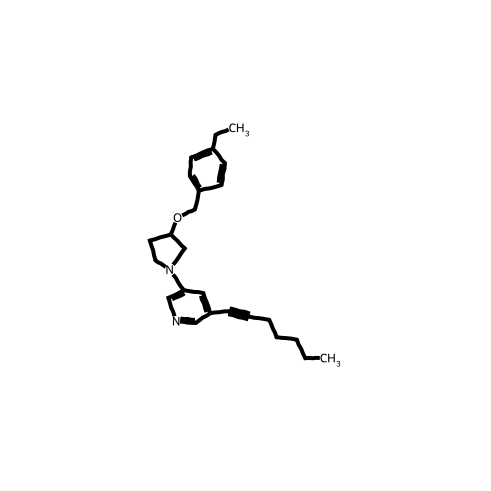 CCCCCC#Cc1cncc(N2CCC(OCc3ccc(CC)cc3)C2)c1